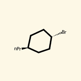 CCC[C@H]1CC[C@H](Br)CC1